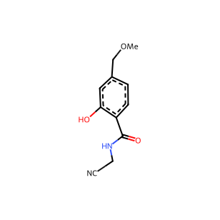 COCc1ccc(C(=O)NCC#N)c(O)c1